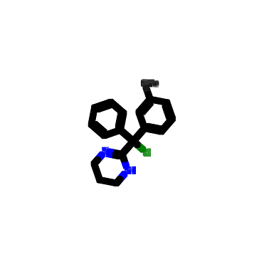 COc1cccc(C(Cl)(C2=NCCCN2)c2ccccc2)c1